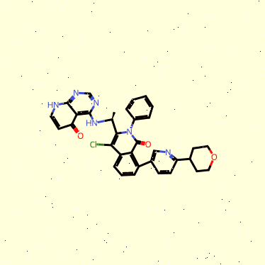 C[C@H](Nc1ncnc2[nH]ccc(=O)c12)c1c(Cl)c2cccc(-c3ccc(C4CCOCC4)nc3)c2c(=O)n1-c1ccccc1